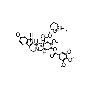 C1CC[SiH2]OC1.COC(=O)[C@H]1[C@H]2C[C@@H]3c4[nH]c5cc(OC)ccc5c4CCN3C[C@H]2C[C@@H](OC(=O)c2cc(OC)c(OC)c(OC)c2)[C@@H]1OC